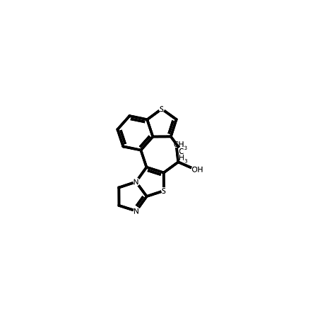 Cc1csc2cccc(C3=C(C(C)O)SC4=NCCN43)c12